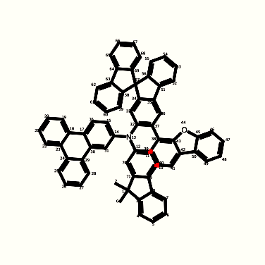 CC1(C)c2ccccc2-c2ccc(N(c3ccc4c5ccccc5c5ccccc5c4c3)c3cc4c(cc3-c3cccc5c3oc3ccccc35)-c3ccccc3C43c4ccccc4-c4ccccc43)cc21